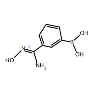 N/C(=N\O)c1cccc(B(O)O)c1